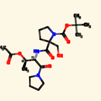 CC(=O)O[C@H](C)[C@H](NC(=O)C1(CO)CCCN1C(=O)OC(C)(C)C)C(=O)N1CCCC1